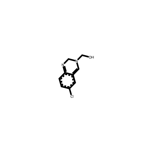 OCN1C=c2cc(Cl)ccc2=NC1